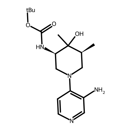 C[C@H]1CN(c2ccncc2N)C[C@@H](NC(=O)OC(C)(C)C)C1(C)O